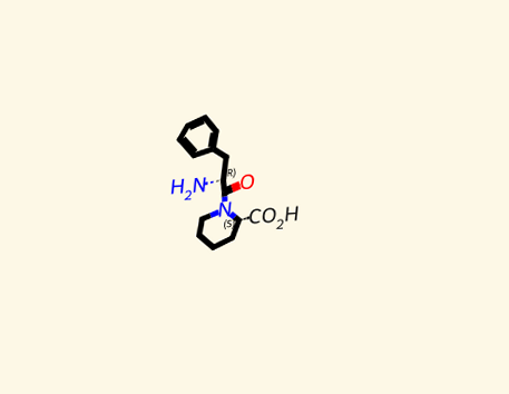 N[C@H](Cc1ccccc1)C(=O)N1CCCC[C@H]1C(=O)O